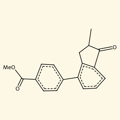 COC(=O)c1ccc(-c2cccc3c2CC(C)C3=O)cc1